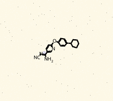 N#C/N=C(\N)c1ccc(Oc2ccc(C3CCCCC3)cc2)nc1